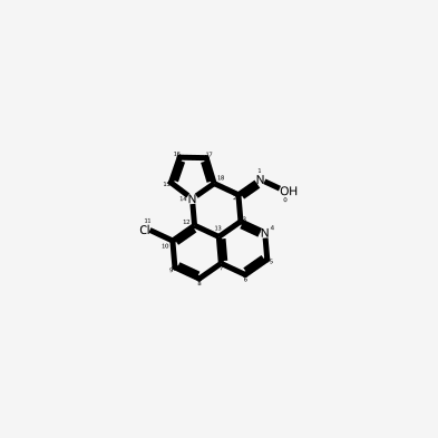 ON=c1c2nccc3ccc(Cl)c(c32)n2cccc12